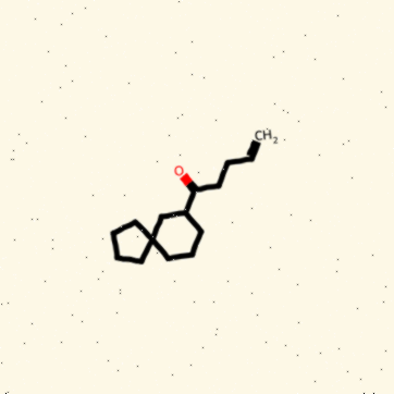 C=CCCC(=O)C1CCCC2(CCCC2)C1